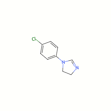 Clc1ccc(N2C=NCC2)cc1